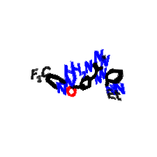 CCn1cc2c(n1)CCCC2n1nc(-c2ccc(C(=O)Nc3cc(C(F)(F)F)ccn3)cc2)c2c(N)ncnc21